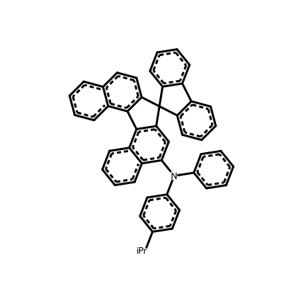 CC(C)c1ccc(N(c2ccccc2)c2cc3c(c4ccccc24)-c2c(ccc4ccccc24)C32c3ccccc3-c3ccccc32)cc1